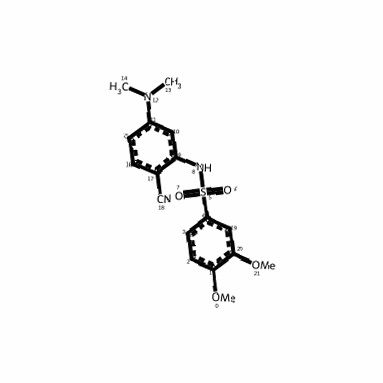 COc1ccc(S(=O)(=O)Nc2cc(N(C)C)ccc2C#N)cc1OC